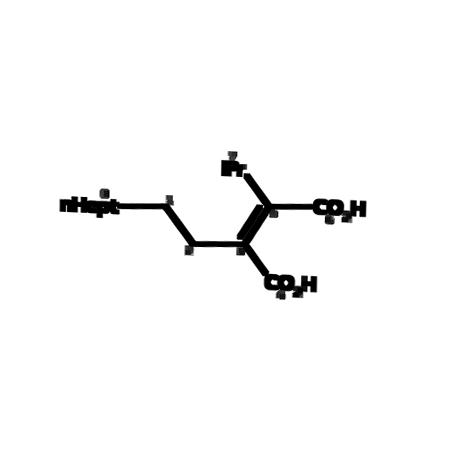 CCCCCCCCCC(C(=O)O)=C(C(=O)O)C(C)C